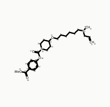 C=CCN(C)CCCCCCOC1CCN(C(=O)Oc2ccc(C(=O)OC)cc2)CC1